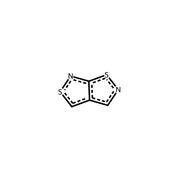 c1nsc2nscc12